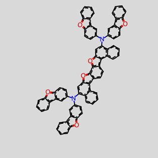 c1ccc2c(c1)oc1ccc(N(c3ccc4oc5ccccc5c4c3)c3cc4oc5c(ccc6c5oc5cc(N(c7ccc8oc9ccccc9c8c7)c7ccc8oc9ccccc9c8c7)c7ccccc7c56)c4c4ccccc34)cc12